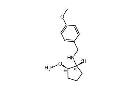 [2H][C@@]1(NCc2ccc(OC)cc2)CCC[C@H]1OP